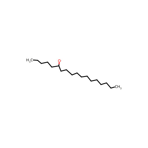 CCCCCCCCCCCCC([O])CCCCC